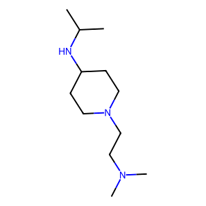 CC(C)NC1CCN(CCN(C)C)CC1